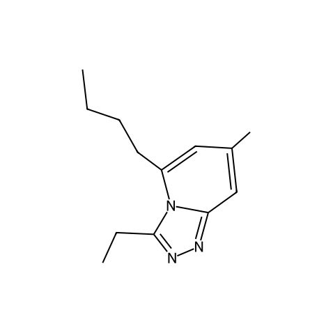 CCCCc1cc(C)cc2nnc(CC)n12